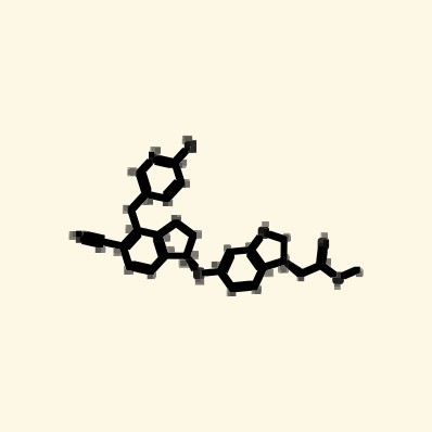 COC(=O)C[C@@H]1COc2cc(O[C@@H]3CCc4c3ccc(C#N)c4Cc3ccc(Cl)nc3)ccc21